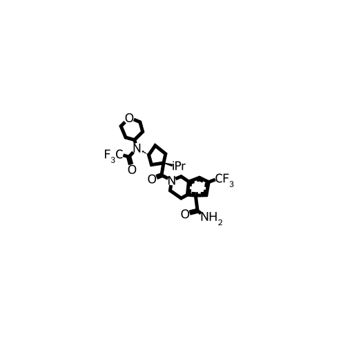 CC(C)[C@]1(C(=O)N2CCc3c(cc(C(F)(F)F)cc3C(N)=O)C2)CC[C@@H](N(C(=O)C(F)(F)F)C2CCOCC2)C1